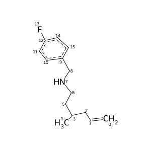 C=CCC(C)CCNCc1ccc(F)cc1